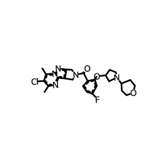 Cc1nc2c3c(nn2c(C)c1Cl)CN(C(=O)c1ccc(F)cc1OC1CCN(C2CCOCC2)C1)C3